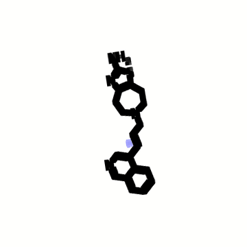 Nc1nc2c(s1)CCN(C/C=C/c1cncc3ccccc13)CC2